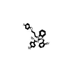 Fc1ccc(OCCCn2c(=NC(Br)c3ccc(Br)cc3)n(Cc3ccccc3Br)c3ccccc32)cc1